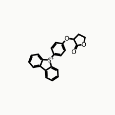 O=C1OCCC1Oc1ccc(-[s+]2c3ccccc3c3ccccc32)cc1